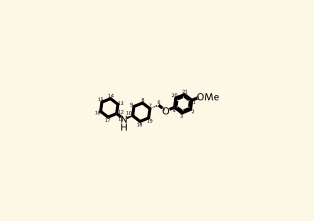 COc1ccc(OC[C@H]2CC[C@H](NC3CCCCC3)CC2)cc1